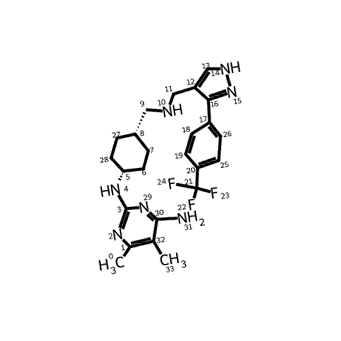 Cc1nc(N[C@H]2CC[C@@H](CNCc3c[nH]nc3-c3ccc(C(F)(F)F)cc3)CC2)nc(N)c1C